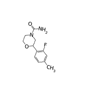 Cc1ccc(C2CN(C(N)=O)CCO2)c(F)c1